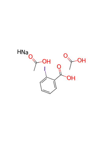 CC(=O)O.CC(=O)O.O=C(O)c1ccccc1I.[NaH]